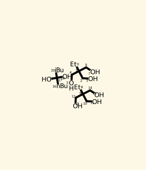 CCC(CO)(CO)CO.CCC(CO)(CO)CO.CCCCC(O)(O)C(C)CC